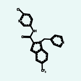 O=C(Nc1ccc(Cl)nc1)c1cc2cc(C(F)(F)F)ccc2n1Cc1ccncc1